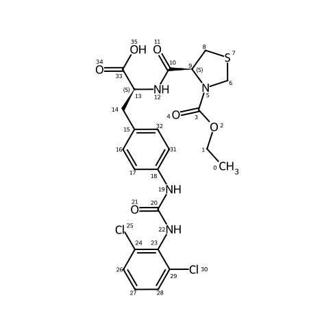 CCOC(=O)N1CSC[C@@H]1C(=O)N[C@@H](Cc1ccc(NC(=O)Nc2c(Cl)cccc2Cl)cc1)C(=O)O